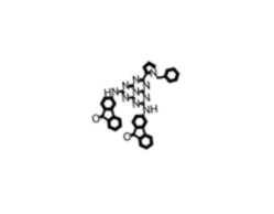 O=C1c2ccccc2-c2cc(NC3=NC4=NC(Nc5ccc6c(c5)-c5ccccc5C6=O)=NC5=NC(c6cccn6Cc6ccccc6)=NC(=N3)N45)ccc21